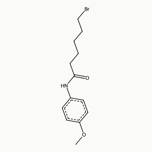 COc1ccc(NC(=O)CCCCCBr)cc1